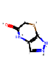 O=C1CSc2[nH]ncc2N1